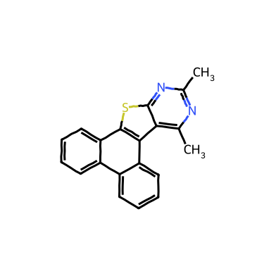 Cc1nc(C)c2c(n1)sc1c3ccccc3c3ccccc3c12